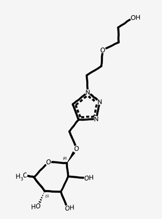 CC1O[C@@H](OCc2cn(CCOCCO)nn2)C(O)C(O)[C@@H]1O